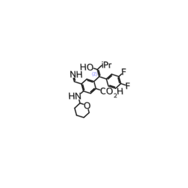 CC(C)/C(O)=C(\c1ccc(F)c(F)c1)c1cc(C=N)c(NC2CCCCO2)cc1C(=O)O